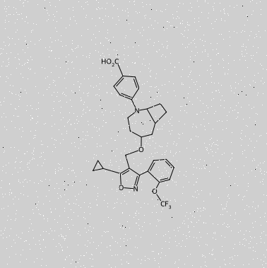 O=C(O)c1ccc(N2CCC(OCc3c(-c4ccccc4OC(F)(F)F)noc3C3CC3)CC3CCC32)cc1